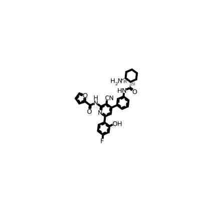 N#Cc1c(-c2cccc(NC(=O)[C@H]3CCCC[C@H]3N)c2)cc(-c2ccc(F)cc2O)nc1NC(=O)c1ccco1